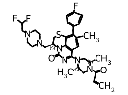 C=CC(=O)N1C[C@H](C)N(c2nc(=O)n3c4c(c(-c5ccc(F)cc5)c(C)cc24)SC[C@@H]3CN2CCN(CC(F)F)CC2)C[C@H]1C